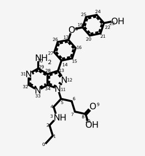 CCCNCC(CCC(=O)O)n1nc(-c2ccc(Oc3ccc(O)cc3)cc2)c2c(N)ncnc21